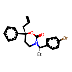 C=CC[C@]1(c2ccccc2)CCN([C@@H](CC)c2ccc(Br)cc2)C(=O)O1